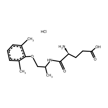 Cc1cccc(C)c1OCC(C)NC(=O)[C@@H](N)CCC(=O)O.Cl